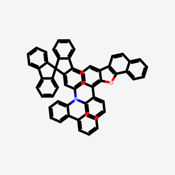 c1ccc(-c2ccccc2N(c2ccc3c(c2)C2(c4ccccc4-c4ccccc42)c2ccccc2-3)c2ccccc2-c2cccc3c2oc2c4ccccc4ccc32)cc1